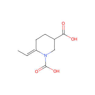 CC=C1CCC(C(=O)O)CN1C(=O)O